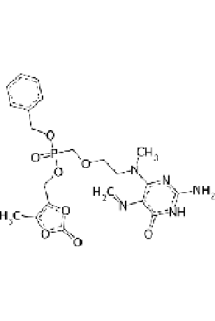 C=Nc1c(N(C)CCOCP(=O)(OCc2ccccc2)OCc2oc(=O)oc2C)nc(N)[nH]c1=O